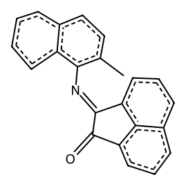 Cc1ccc2ccccc2c1/N=C1/C(=O)c2cccc3cccc1c23